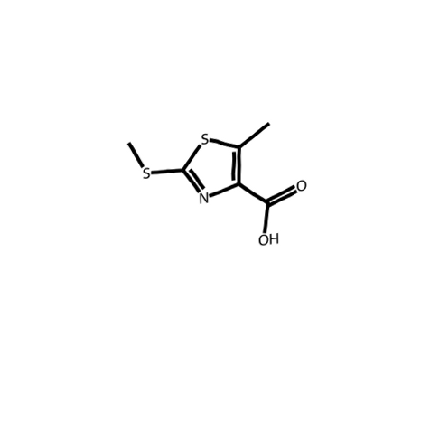 CSc1nc(C(=O)O)c(C)s1